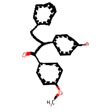 COc1ccc(C(=O)C(Cc2ccccc2)c2ccc(Br)cc2)cc1